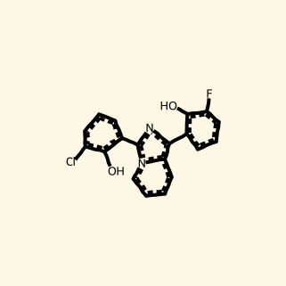 Oc1c(F)cccc1-c1nc(-c2cccc(Cl)c2O)n2ccccc12